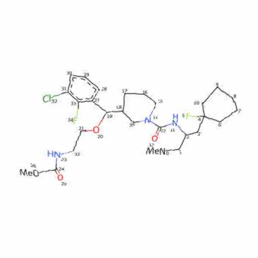 CNCC(CC1(F)CCCCC1)NC(=O)N1CCCC(C(OCCNC(=O)OC)c2cccc(Cl)c2F)C1